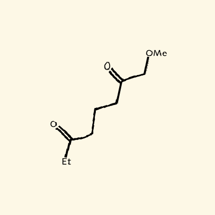 CCC(=O)CCCC(=O)COC